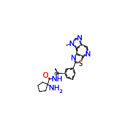 C[C@H](NC(=O)C1(N)CCCC1)c1cccc(-c2nc3c(ncc4ncn(C)c43)s2)c1